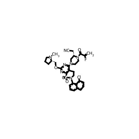 C=C(F)C(=O)N1CCN(c2nc(OC[C@@H]3CCCN3C)nc3c2CCN(c2cccc4cccc(Cl)c24)S3(=O)=O)C[C@@H]1CC#N